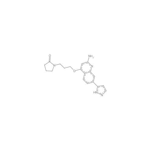 Nc1cc(OCCCN2CCCC2=O)c2ccc(-c3ccn[nH]3)cc2n1